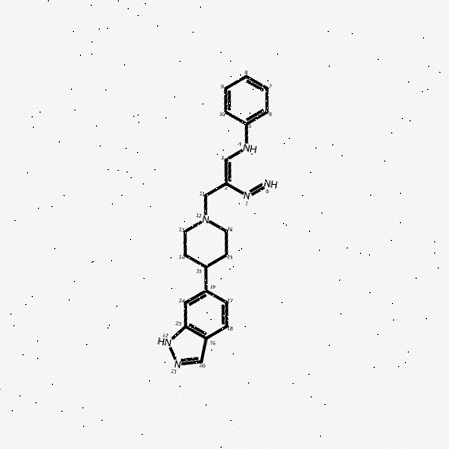 N=N/C(=C\Nc1ccccc1)CN1CCC(c2ccc3cn[nH]c3c2)CC1